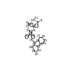 C#CCN(CC(=O)OC(C)CC)C(=O)OCC1c2ccccc2-c2ccccc21